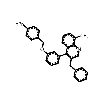 CCCc1ccc(COc2cccc(-c3c(Cc4ccccc4)cnc4c(C(F)(F)F)cccc34)c2)cc1